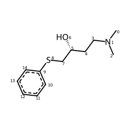 CN(C)CC[C@@H](O)CSc1ccccc1